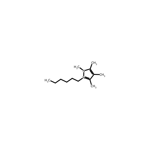 CCCCCC[n+]1c(C)c(C)c(C)n1C